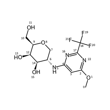 COc1cc(N[C@H]2CO[C@H](CO)[C@H](O)[C@@H]2O)nc(C(F)(F)F)n1